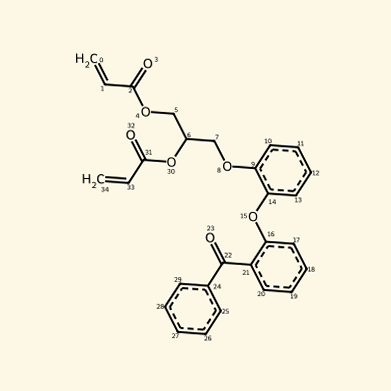 C=CC(=O)OCC(COc1ccccc1Oc1ccccc1C(=O)c1ccccc1)OC(=O)C=C